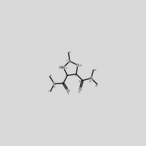 CB1NC(C(=O)N(C)C)C(C(=O)N(C)C)O1